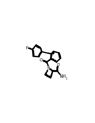 NC(=O)C1CCN1C(=O)c1ccccc1-c1ccc(F)cc1